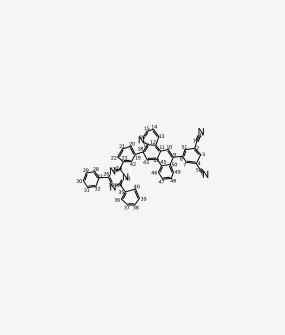 N#Cc1cc(C#N)cc(-c2cc3c4cccnc4c(-c4cccc(-c5nc(-c6ccccc6)nc(-c6ccccc6)n5)c4)cc3c3ccccc23)c1